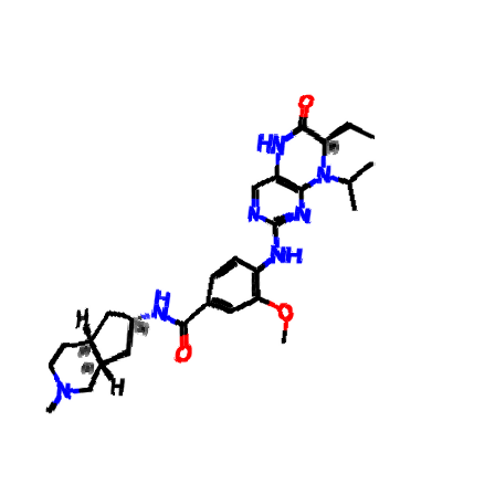 CC[C@@H]1C(=O)Nc2cnc(Nc3ccc(C(=O)N[C@H]4C[C@H]5CCN(C)C[C@H]5C4)cc3OC)nc2N1C(C)C